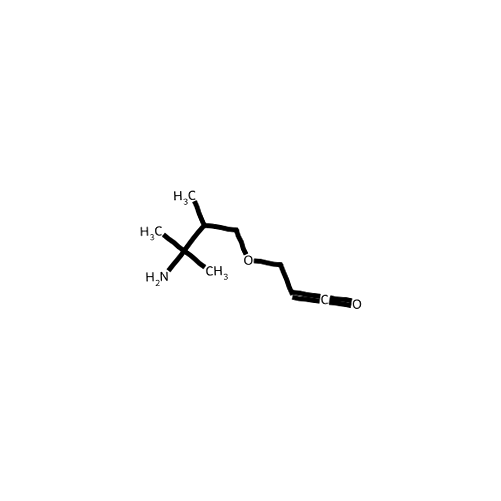 CC(COCC=C=O)C(C)(C)N